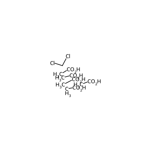 CC(=O)O.CC(=O)O.CC(=O)O.CC(=O)O.CC(=O)O.ClCCl